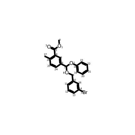 COC(=O)c1cc(C(OCc2cccc(Br)c2)Oc2ccccc2)ccc1C